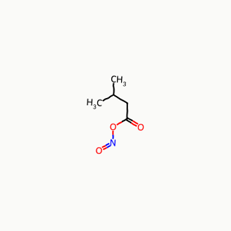 CC(C)CC(=O)ON=O